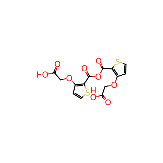 O=C(O)COc1ccsc1C(=O)OC(=O)c1sccc1OCC(=O)O